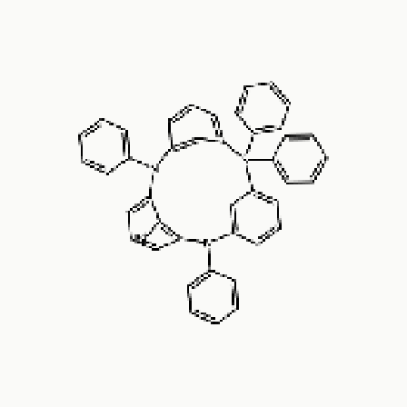 Clc1c2cccc1N(c1ccccc1)c1cccc(c1)S(c1ccccc1)(c1ccccc1)c1cccc(c1)N2c1ccccc1